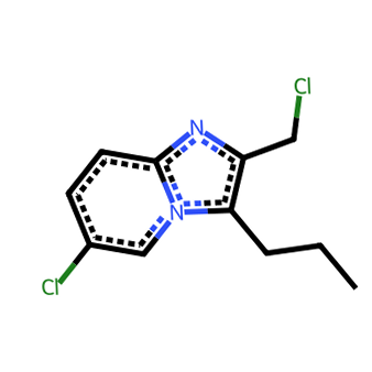 CCCc1c(CCl)nc2ccc(Cl)cn12